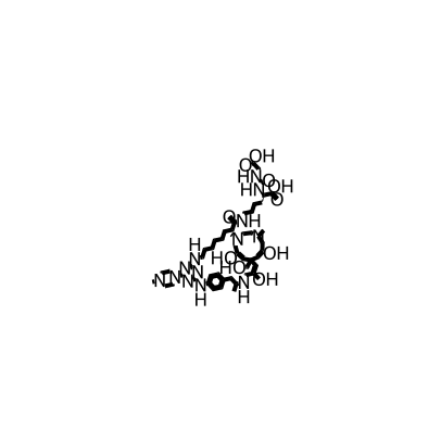 CC(Cc1ccc(Nc2nc(NCCCCCCCC(=O)NCCCC[C@H](NC(=O)NCC(=O)O)C(=O)O)nc(N3CCN(C)CC3)n2)cc1)NC/C(O)=C\C1(CO)/C=C(/O)CN(C)CCN(C)C/C(O)=C\1